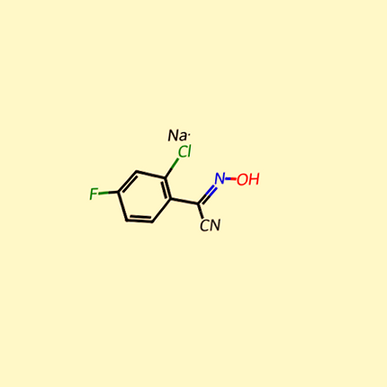 N#CC(=NO)c1ccc(F)cc1Cl.[Na]